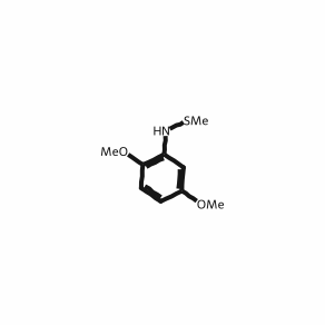 COc1ccc(OC)c(NSC)c1